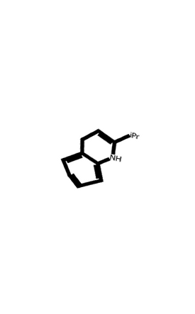 CC(C)C1=CCc2ccccc2N1